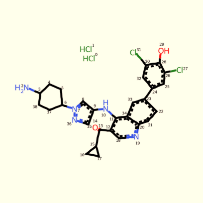 Cl.Cl.NC1CCC(n2cc(Nc3c(C(=O)C4CC4)cnc4ccc(-c5cc(Cl)c(O)c(Cl)c5)cc34)cn2)CC1